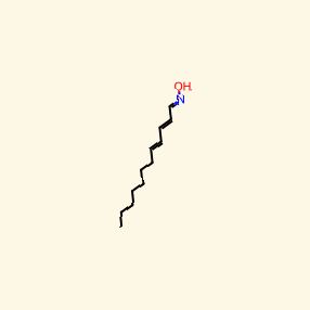 CCCCCCCC=CC=CC=NO